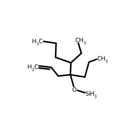 C=CCC(CCC)(O[SiH3])C(CC)CCC